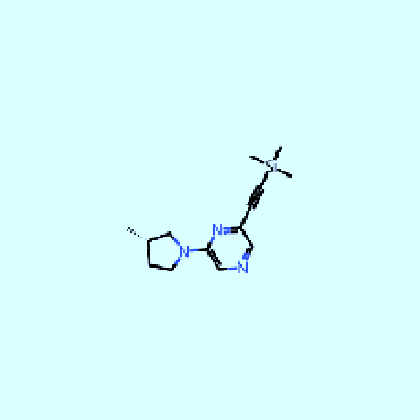 C[C@H]1CCN(c2cncc(C#C[Si](C)(C)C)n2)C1